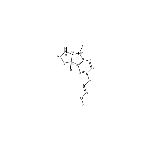 COC=CCc1ccc2c(c1)[C@]1(C)CCNC1N2C